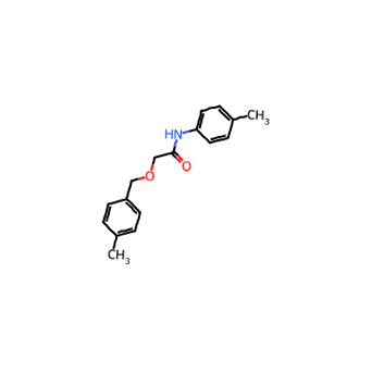 Cc1ccc(COCC(=O)Nc2ccc(C)cc2)cc1